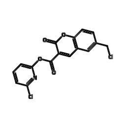 O=C(Oc1cccc(Cl)n1)c1cc2cc(CCl)ccc2oc1=O